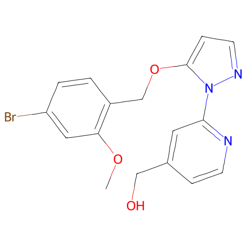 COc1cc(Br)ccc1COc1ccnn1-c1cc(CO)ccn1